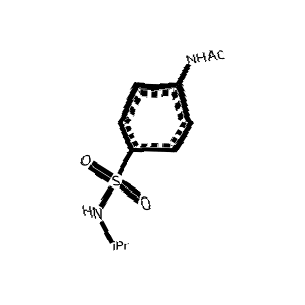 CC(=O)Nc1ccc(S(=O)(=O)NC(C)C)cc1